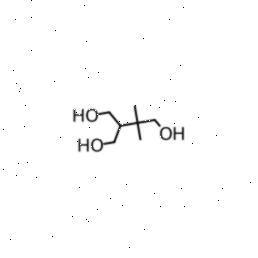 CC(C)(CO)C(CO)CO